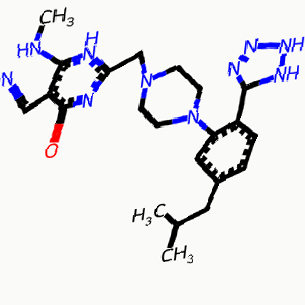 CNc1[nH]c(CN2CCN(c3cc(CC(C)C)ccc3C3N=NNN3)CC2)nc(=O)c1C=N